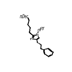 CCCCCCCCCCCCCCc1nc(CCCc2ccccc2)cn1CCC